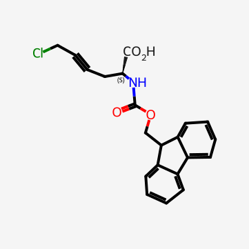 O=C(N[C@@H](CC#CCCl)C(=O)O)OCC1c2ccccc2-c2ccccc21